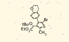 CCOC(=O)C(OC(C)(C)C)c1c(C)sc(Br)c1-c1ccc2c(c1)CCCO2